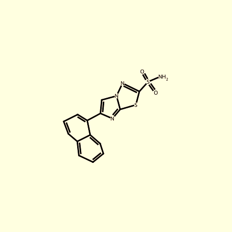 NS(=O)(=O)c1nn2cc(-c3cccc4ccccc34)nc2s1